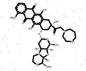 COc1cccc2c1C(=O)c1c(O)c3c(c(O)c1C2=O)C[C@@](O)(C(=O)CN1CCCNCC1)C[C@@H]3O[C@H]1C[C@H]2[C@H](O[C@@H]3[C@@H](OC)OCCN32)[C@H](C)O1